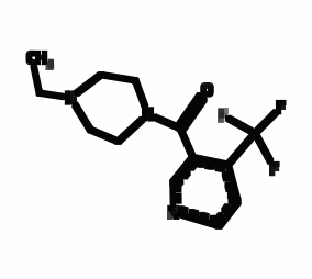 CCN1CCN(C(=O)c2cnccc2C(F)(F)F)CC1